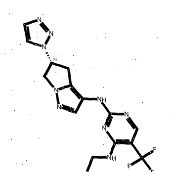 CCNc1nc(Nc2cnn3c2C[C@@H](n2ccnn2)C3)ncc1C(F)(F)F